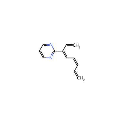 C=C/C=C\C=C(/C=C)c1ncccn1